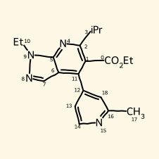 CCOC(=O)c1c(C(C)C)nc2c(cnn2CC)c1-c1ccnc(C)c1